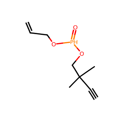 C#CC(C)(C)CO[PH](=O)OCC=C